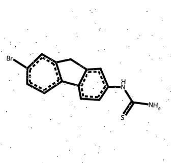 NC(=S)Nc1ccc2c(c1)Cc1cc(Br)ccc1-2